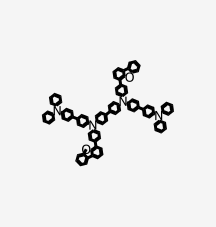 c1ccc(N(c2ccccc2)c2ccc(-c3ccc(N(c4ccc(-c5ccc(N(c6ccc(-c7ccc(N(c8ccccc8)c8ccccc8)cc7)cc6)c6ccc(-c7cccc8c7oc7ccccc78)cc6)cc5)cc4)c4ccc(-c5cccc6c5oc5ccccc56)cc4)cc3)cc2)cc1